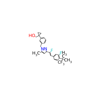 Cc1cc(C(F)=Cc2ccc(C(C)(C)C(F)(F)F)c(F)c2)nn1Cc1cccc(C2(CO)CC2)c1